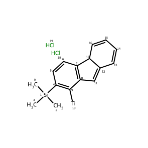 C[Si](C)(C)c1ccc2c([c]1[Ti])C=C1C=CC=CC12.Cl.Cl